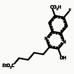 CCOC(=O)CCCCc1nc2cc(C(=O)O)c(F)cc2nc1O